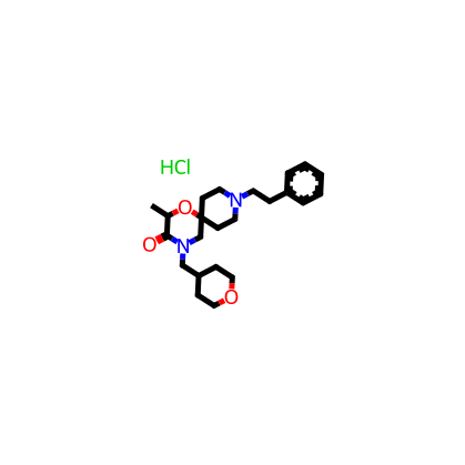 CC1OC2(CCN(CCc3ccccc3)CC2)CN(CC2CCOCC2)C1=O.Cl